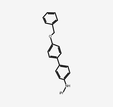 CC(C)Nc1ccc(-c2ccc(OCc3ccccc3)cc2)cc1